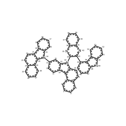 c1ccc2c(c1)ccc1c2c2ccc(-n3c4ccccc4c4ccc5ccccc5c43)cc2n1-c1nc2ccccc2nc1-c1cccc2sc3ccccc3c12